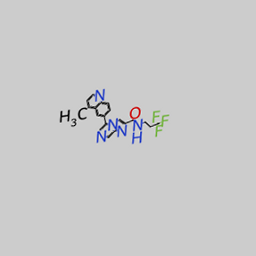 Cc1ccnc2ccc(-c3cncc4nc(C(=O)NCCC(F)(F)F)cn34)cc12